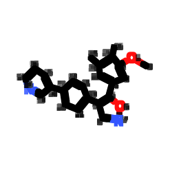 COc1cc(-c2oncc2-c2ccc(-c3cccnc3)cc2)cc(C)c1C